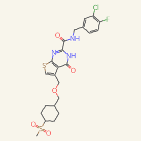 CS(=O)(=O)C1CCC(COCc2csc3nc(C(=O)NCc4ccc(F)c(Cl)c4)[nH]c(=O)c23)CC1